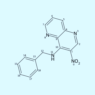 O=[N+]([O-])c1cnc2cccnc2c1NCc1ccccc1